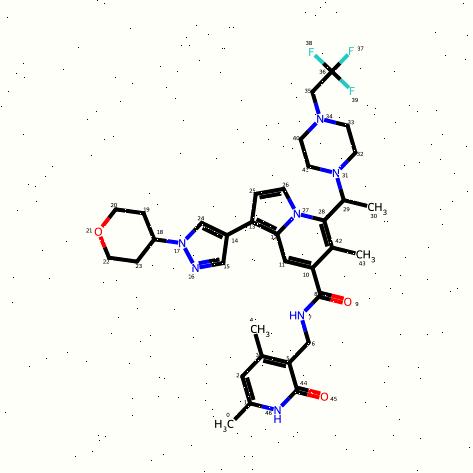 Cc1cc(C)c(CNC(=O)c2cc3c(-c4cnn(C5CCOCC5)c4)ccn3c(C(C)N3CCN(CC(F)(F)F)CC3)c2C)c(=O)[nH]1